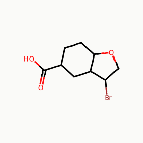 O=C(O)C1CCC2OCC(Br)C2C1